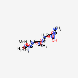 CNCCOc1nc2c(cc1C(=O)Nc1cccc(-c3cnn(CCC4(C)Cc5cc(C(=O)Nc6cccc(-c7cnn(CCC8(C)Cc9cc(C(=O)Nc%10cccc(-c%11cnn(C)c%11)n%10)c(O[C@H]%10C[C@@H](O)C%10)nc9O8)c7)n6)c(OC(C)C6CC6)nc5O4)c3)n1)CC(C)(C)O2